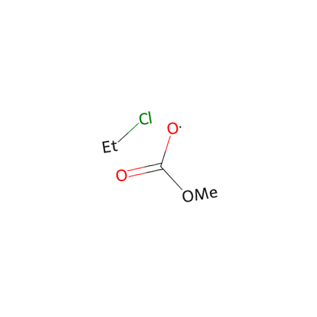 CCCl.COC([O])=O